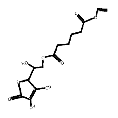 C=COC(=O)CCCCC(=O)OCC(O)C1OC(=O)C(O)=C1O